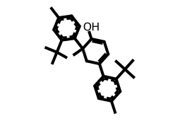 Cc1ccc(C2=CC=C(O)C(C)(c3ccc(C)cc3C(C)(C)C)C2)c(C(C)(C)C)c1